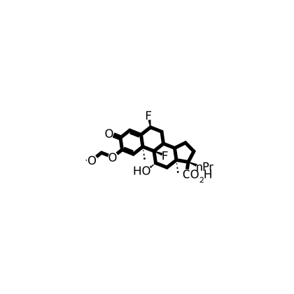 CCC[C@]1(C(=O)O)CCC2C3C[C@H](F)C4=CC(=O)C(OC[O])=C[C@]4(C)[C@@]3(F)[C@@H](O)C[C@@]21C